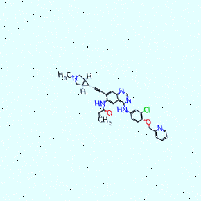 C=CC(=O)Nc1cc2c(Nc3ccc(OCc4ccccn4)c(Cl)c3)ncnc2cc1C#C[C@@H]1[C@H]2CN(C)C[C@@H]12